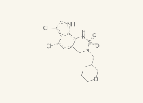 O=S1(=O)Nc2c(cc(Cl)c3c(Cl)c[nH]c23)CN1CC1CCCOC1